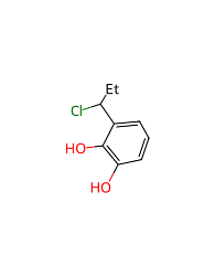 CCC(Cl)c1cccc(O)c1O